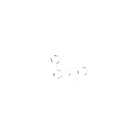 CCOC(=O)Cc1cncc(-c2ccc(C(F)(F)F)cc2CN(Cc2cnc(C)cn2)C(=O)C2CC2)c1